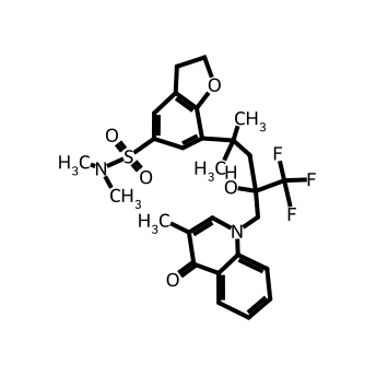 Cc1cn(CC(O)(CC(C)(C)c2cc(S(=O)(=O)N(C)C)cc3c2OCC3)C(F)(F)F)c2ccccc2c1=O